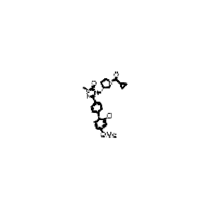 COc1ccc(-c2ccc(-c3nn(C)c(=O)n3C[C@@H]3CCN(C(=O)C4CC4)C3)cc2)c(Cl)c1